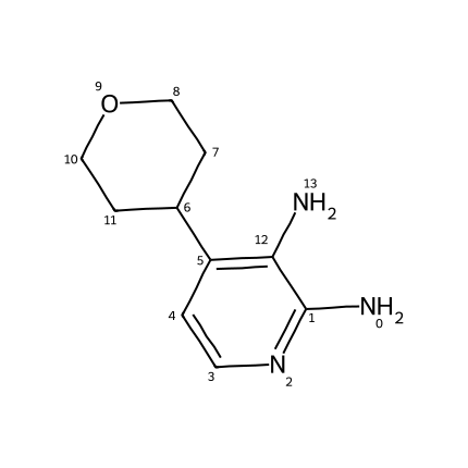 Nc1nccc(C2CCOCC2)c1N